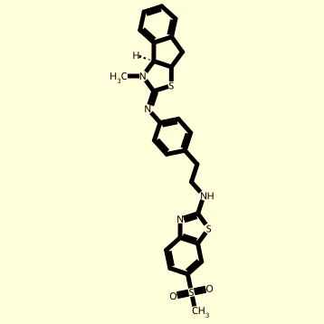 CN1/C(=N/c2ccc(CCNc3nc4ccc(S(C)(=O)=O)cc4s3)cc2)SC2Cc3ccccc3[C@@H]21